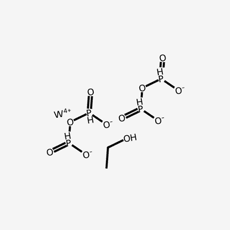 CCO.O=[PH]([O-])O[PH](=O)[O-].O=[PH]([O-])O[PH](=O)[O-].[W+4]